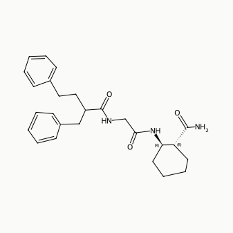 NC(=O)[C@@H]1CCCC[C@H]1NC(=O)CNC(=O)C(CCc1ccccc1)Cc1ccccc1